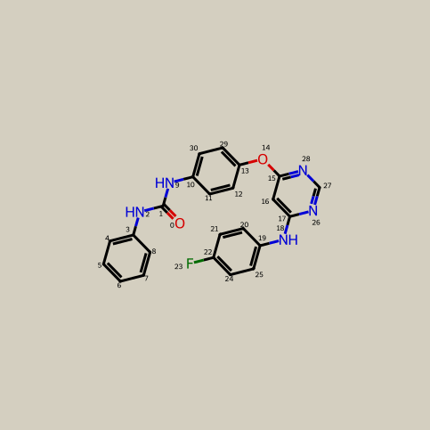 O=C(Nc1ccccc1)Nc1ccc(Oc2cc(Nc3ccc(F)cc3)ncn2)cc1